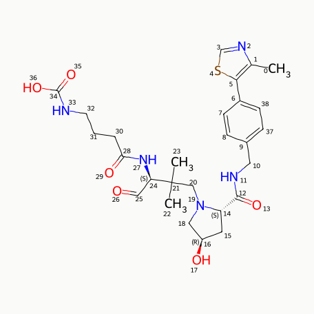 Cc1ncsc1-c1ccc(CNC(=O)[C@@H]2C[C@@H](O)CN2CC(C)(C)[C@@H](C=O)NC(=O)CCCNC(=O)O)cc1